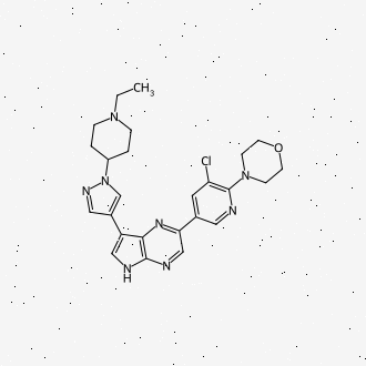 CCN1CCC(n2cc(-c3c[nH]c4ncc(-c5cnc(N6CCOCC6)c(Cl)c5)nc34)cn2)CC1